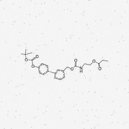 CCC(=O)OCCNC(=O)OCc1cccc(-c2ccc(OC(=O)OC(C)(C)C)cc2)c1